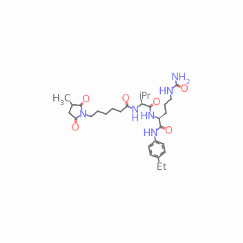 CCc1ccc(NC(=O)[C@H](CCCNC(N)=O)NC(=O)[C@@H](NC(=O)CCCCCN2C(=O)CC(C)C2=O)C(C)C)cc1